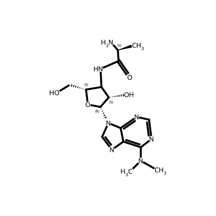 C[C@H](N)C(=O)NC1[C@@H](CO)O[C@@H](n2cnc3c(N(C)C)ncnc32)[C@H]1O